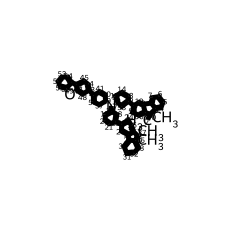 CC1(C)c2ccccc2-c2cc(-c3cccc(N(c4cccc(-c5ccc6c(c5)-c5ccccc5C6(C)C)c4)C4C=CC(c5ccc6c(c5)oc5ccccc56)=CC4)c3)ccc21